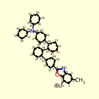 CCC(C)c1cc(C)cc2nc(-c3ccc(-c4ccccc4-c4ccccc4-c4ccc(N(c5ccccc5)c5ccccc5)cc4)cc3)oc12